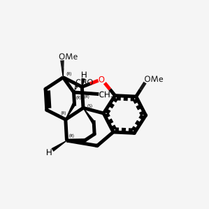 COc1ccc2c3c1O[C@H]1[C@@]4(OC)C=C[C@@]5(C[C@@]4(C)C=O)[C@H](CCC[C@]315)C2